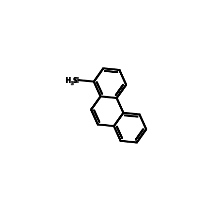 [SiH3]c1cccc2c1ccc1ccccc12